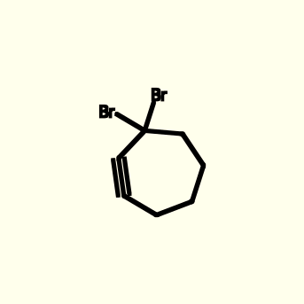 BrC1(Br)C#CCCCC1